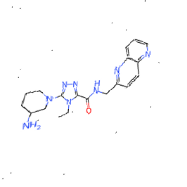 CCn1c(C(=O)NCc2ccc3ncccc3n2)nnc1N1CCCC(N)C1